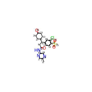 Cc1cnc(NC(=O)CC(c2ccc(S(C)(=O)=O)c(Cl)c2)C2CCC(=O)CC2)cn1